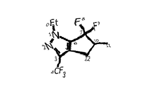 CCn1nc(C(F)(F)F)c2c1C(F)(F)C(C)C2